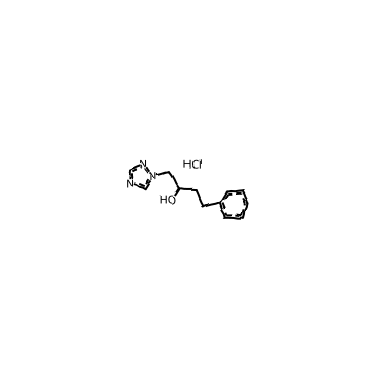 Cl.OC(CCc1ccccc1)Cn1cncn1